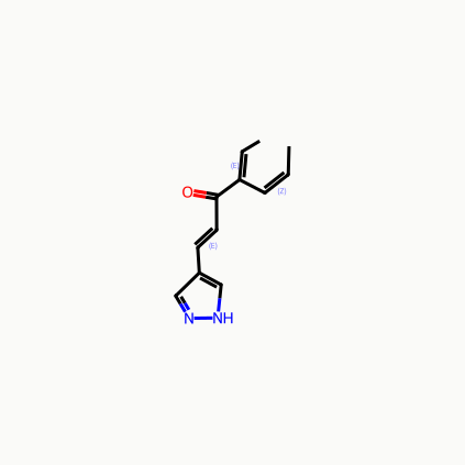 C/C=C\C(=C/C)C(=O)/C=C/c1cn[nH]c1